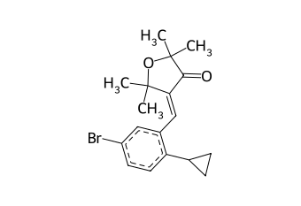 CC1(C)OC(C)(C)C(=Cc2cc(Br)ccc2C2CC2)C1=O